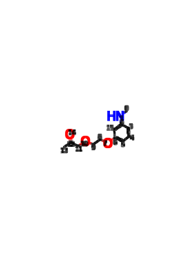 CNc1cccc(OCCOCC(C)=O)c1